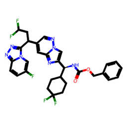 O=C(N[C@H](c1cn2ncc(C(CC(F)F)c3nnc4ccc(F)cn34)cc2n1)C1CCC(F)(F)CC1)OCc1ccccc1